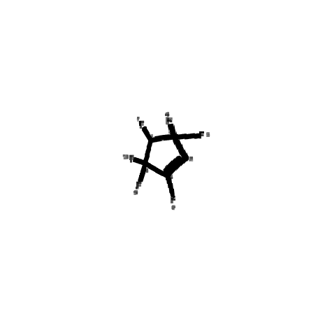 FC1=CC(F)(F)C(F)C1(F)F